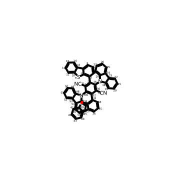 N#Cc1c(-c2cccc3c2sc2ccccc23)c(-n2c3ccccc3c3ccccc32)c(C#N)c(-c2cccc3c2sc2ccccc23)c1-n1c2ccccc2c2ccccc21